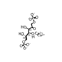 O=C(COP(=O)([O-])[O-])[C@H](O)[C@@H](O)[C@@H](O)COP(=O)([O-])[O-].[Ca+2].[Ca+2]